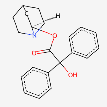 O=C(O[C@@H]1CC2CCN1CC2)C(O)(c1ccccc1)c1ccccc1